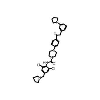 O=C(Cc1cccc(N2CCCC2)c1)c1ccc(N2CCN(C(=O)Nc3c(Cl)cc(CN4CCCC4)cc3Cl)CC2)cc1